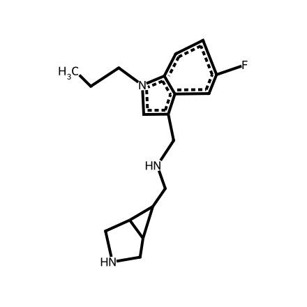 CCCn1cc(CNCC2C3CNCC23)c2cc(F)ccc21